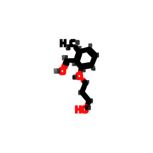 Cc1cccc(OCCCO)c1C=O